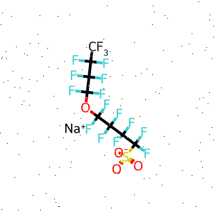 O=S(=O)([O-])C(F)(F)C(F)(F)C(F)(F)C(F)(F)OC(F)(F)C(F)(F)C(F)(F)C(F)(F)F.[Na+]